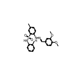 COc1ccc(/C=N/Nc2ccc(C)cc2S(=O)(=O)Nc2ccccc2C)cc1OC